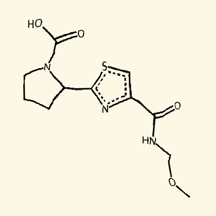 COCNC(=O)c1csc(C2CCCN2C(=O)O)n1